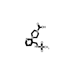 CS(=O)(=O)NCc1cccnc1N1CCN(C(=O)O)CC1